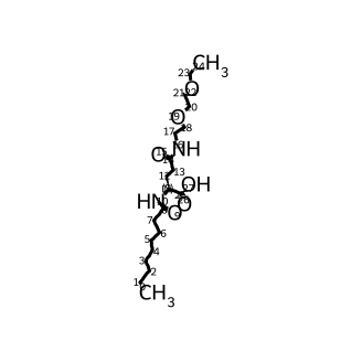 CCCCCCCCC(=O)N[C@@H](CCC(=O)NCCOCCOCC)C(=O)O